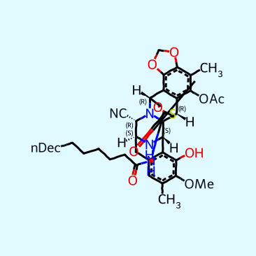 CCCCCCCCCCCCCCCC(=O)NC1CS[C@@H]2c3c(OC(C)=O)c(C)c4c(c3[C@H](COC1=O)N1C2[C@H]2N[C@@H](Cc3cc(C)c(OC)c(O)c32)[C@@H]1C#N)OCO4